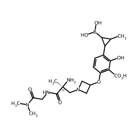 CC1C(B(O)O)C1c1ccc(OC2CN(C[C@](C)(N)C(=O)NCC(=O)N(C)C)C2)c(C(=O)O)c1O